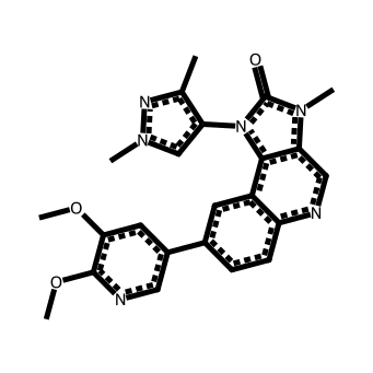 COc1cc(-c2ccc3ncc4c(c3c2)n(-c2cn(C)nc2C)c(=O)n4C)cnc1OC